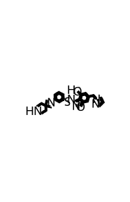 COc1cc(Cn2cccn2)cc2onc(NSc3cccc(N4CC5(CCNCC5)C4)c3)c12